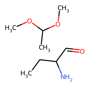 CCC(N)C=O.COC(C)OC